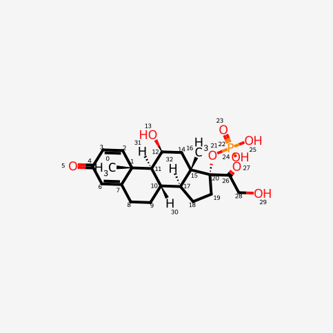 C[C@]12C=CC(=O)C=C1CC[C@@H]1[C@@H]2[C@@H](O)C[C@@]2(C)[C@H]1CC[C@]2(OP(=O)(O)O)C(=O)CO